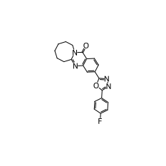 O=c1c2ccc(-c3nnc(-c4ccc(F)cc4)o3)cc2nc2n1CCCCCC2